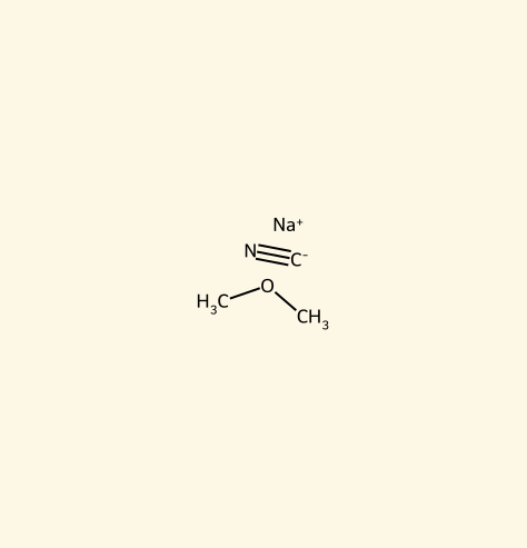 COC.[C-]#N.[Na+]